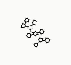 c1ccc(-c2cc(-n3c4ccccc4c4cc5c(cc43)c3ccccc3n5-c3nc(-c4ccccc4)nc(-c4cccc5sc6ccccc6c45)n3)c3oc4ccccc4c3c2)cc1